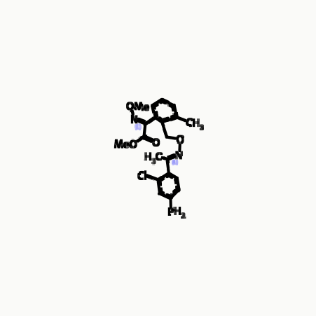 CO/N=C(/C(=O)OC)c1cccc(C)c1CO/N=C(\C)c1ccc(P)cc1Cl